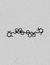 CC1=CCCC(C)(C)C1CCC(=O)CC(=O)OCCOC(=O)CC(=O)CCC1C(C)=CCCC1(C)C